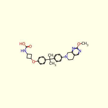 COc1ncc2c(n1)CN(c1ccc(C(C)(C)c3ccc(OC4CC(NC(=O)O)C4)cc3)cc1)CC2